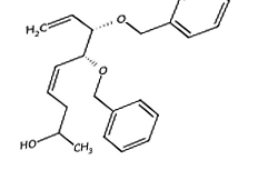 C=C[C@H](OCc1ccccc1)[C@@H](/C=C\CC(C)O)OCc1ccccc1